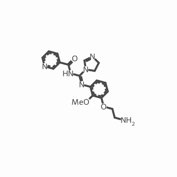 COc1c(/N=C(/NC(=O)c2cccnc2)N2C=NCC2)cccc1OCCN